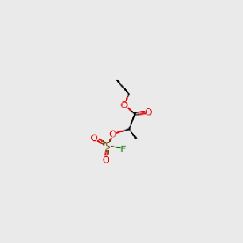 CCOC(=O)[C@@H](C)OS(=O)(=O)F